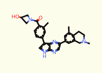 Cc1cc(-c2c[nH]c3ncc(-c4cc(C)c5c(c4)CN(C)CC5)nc23)ccc1C(=O)N1CC(O)C1